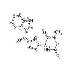 CN1CC(=O)NC(c2csc(C(=O)c3c[nH]c4ccccc34)n2)C1=O